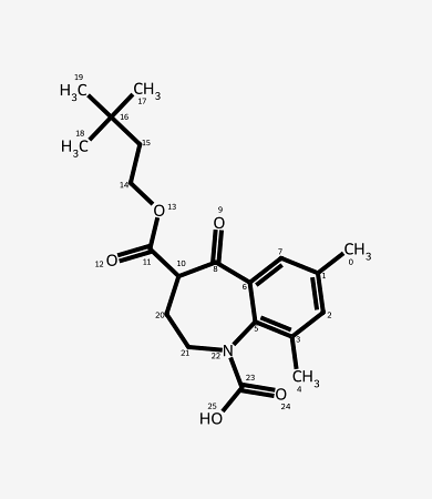 Cc1cc(C)c2c(c1)C(=O)C(C(=O)OCCC(C)(C)C)CCN2C(=O)O